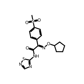 CS(=O)(=O)c1ccc(/C(=N\OC2CCCC2)C(=O)Nc2ncns2)cc1